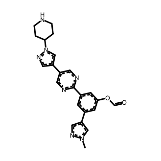 Cn1cc(-c2cc(OC=O)cc(-c3ncc(-c4cnn(C5CCNCC5)c4)cn3)c2)cn1